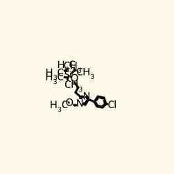 COCn1cc(-c2ccc(Cl)cc2)nc1CCCO[Si](C(C)C)(C(C)C)C(C)C